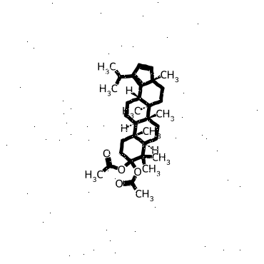 CC(=O)OC1(OC(C)=O)CC[C@]2(C)[C@H]3CC[C@@H]4C5=C(C(C)C)C=C[C@]5(C)CC[C@@]4(C)[C@]3(C)CC[C@H]2C1(C)C